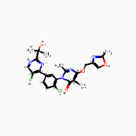 Cc1nc(COc2nc(C)n(-c3cc(-c4nc(C(C)(C)O)ncc4F)ccc3Cl)c(=O)c2C)co1